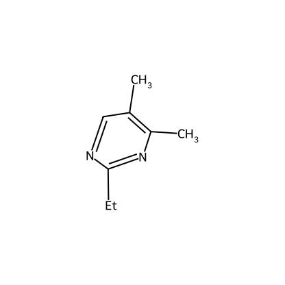 CCc1ncc(C)c(C)n1